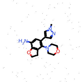 Cn1cc(-c2cc(N)c3c(c2N2CCOCC2)CCO3)cn1